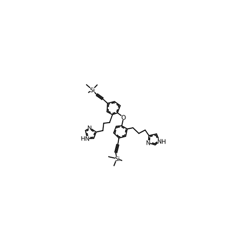 C[Si](C)(C)C#Cc1ccc(Oc2ccc(C#C[Si](C)(C)C)cc2CCCc2c[nH]cn2)c(CCCc2c[nH]cn2)c1